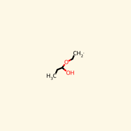 [CH2]COC(O)CC